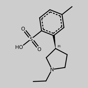 CCN1CC[C@H](c2cc(C)ccc2S(=O)(=O)O)C1